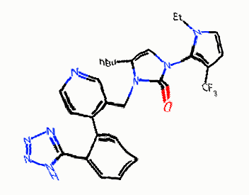 CCCCc1cn(-c2c(C(F)(F)F)ccn2CC)c(=O)n1Cc1cnccc1-c1ccccc1-c1nnn[nH]1